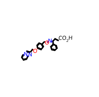 O=C(O)CC/C(=N/OCc1ccc(OCc2cn3ccccc3n2)cc1)c1ccccc1